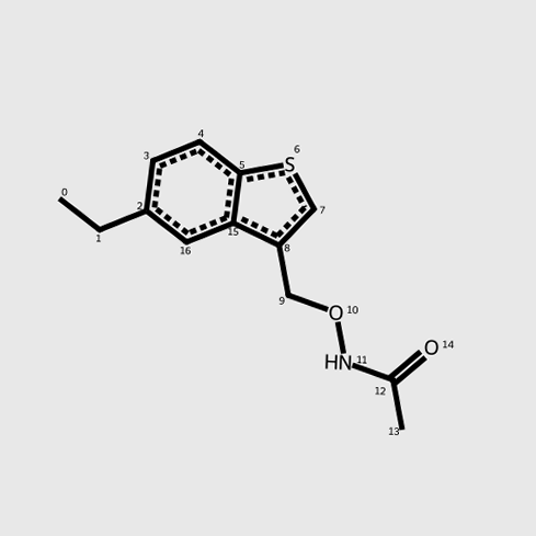 CCc1ccc2scc(CONC(C)=O)c2c1